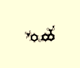 COC(=O)c1cccc2cc(O[C@H]3CC[C@@H](C(F)(F)F)CC3)ccc12